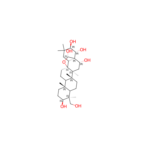 CC1(C)CC2[C@@]3([C@H](O)C[C@]4(C)[C@@]2(CCC2[C@@]5(C)CC[C@H](O)[C@](C)(CO)C5CC[C@]24C)O[C@@H]3O)[C@@H](O)[C@@H]1O